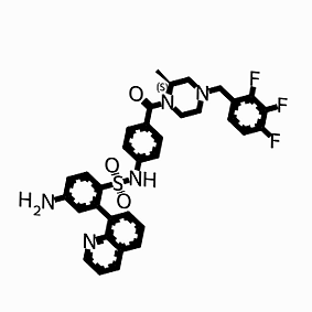 C[C@H]1CN(Cc2ccc(F)c(F)c2F)CCN1C(=O)c1ccc(NS(=O)(=O)c2ccc(N)cc2-c2cccc3cccnc23)cc1